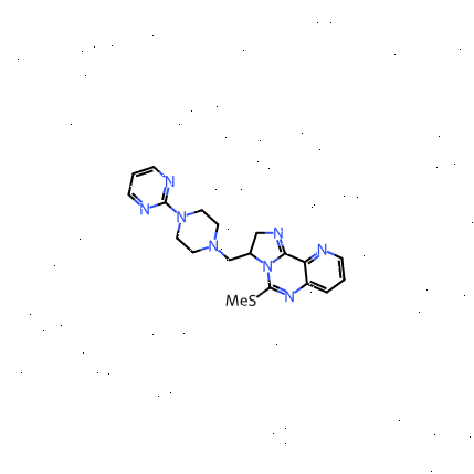 CSC1=Nc2cccnc2C2=NCC(CN3CCN(c4ncccn4)CC3)N12